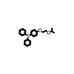 CC(C)OCCOc1ccc([S+](c2ccccc2)c2ccccc2)cc1